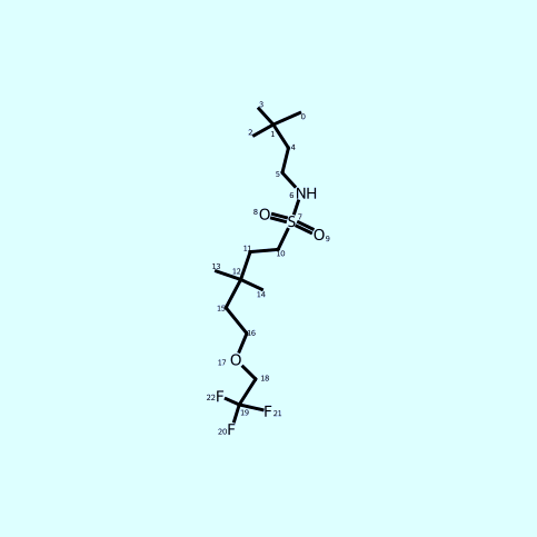 CC(C)(C)CCNS(=O)(=O)CCC(C)(C)CCOCC(F)(F)F